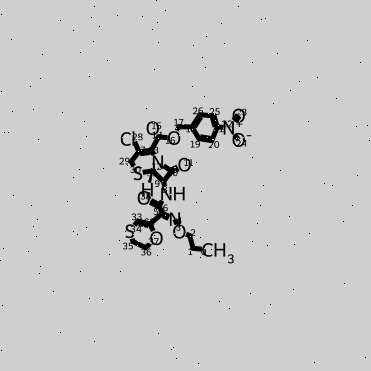 CCCON=C(C(=O)NC1C(=O)N2C(C(=O)OCc3ccc([N+](=O)[O-])cc3)=C(Cl)CS[C@@H]12)C1=CSCCO1